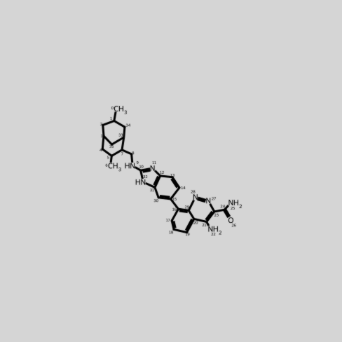 CC1CC2CC(C)C(CNc3nc4ccc(-c5cccc6c(N)c(C(N)=O)nnc56)cc4[nH]3)C(C1)C2